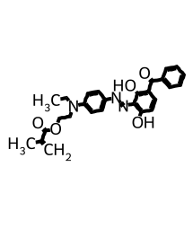 C=C(C)C(=O)OCCN(CC)c1ccc(N=Nc2c(O)ccc(C(=O)c3ccccc3)c2O)cc1